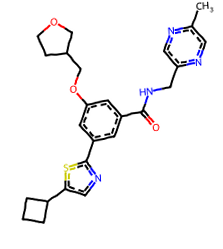 Cc1cnc(CNC(=O)c2cc(OCC3CCOC3)cc(-c3ncc(C4CCC4)s3)c2)cn1